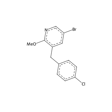 COc1ncc(Br)cc1Cc1ccc(Cl)cc1